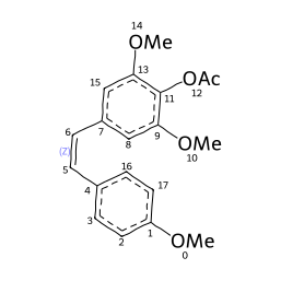 COc1ccc(/C=C\c2cc(OC)c(OC(C)=O)c(OC)c2)cc1